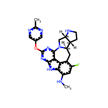 CNc1cc(F)c2c3c1[nH]c1nc(Oc4cnc(C)nc4)nc(c13)N1C[C@@H]3NCC[C@@H]3[C@H]1C2